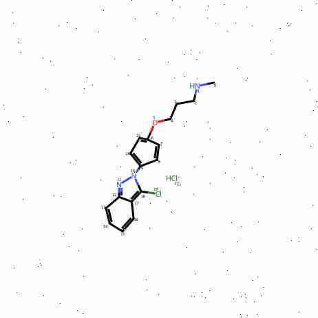 CNCCCOc1ccc(-n2nc3ccccc3c2Cl)cc1.Cl